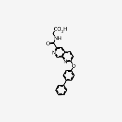 O=C(O)CNC(=O)c1cc2ccc(Oc3ccc(-c4ccccc4)cc3)nc2cn1